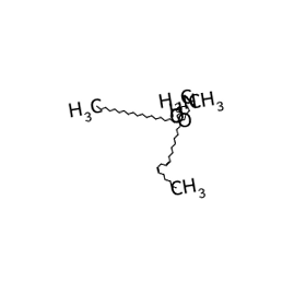 CCCCC/C=C\C/C=C\CCCCCCCCC1(CCCCCCCCCCCCCCCCCC)OC2C[C@@H](N(C)C)C[C@@H]2O1